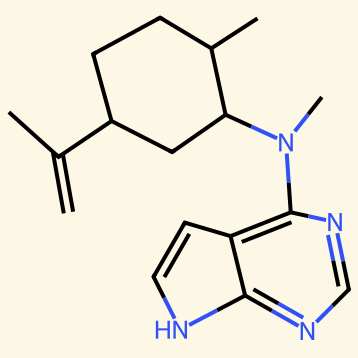 C=C(C)C1CCC(C)C(N(C)c2ncnc3[nH]ccc23)C1